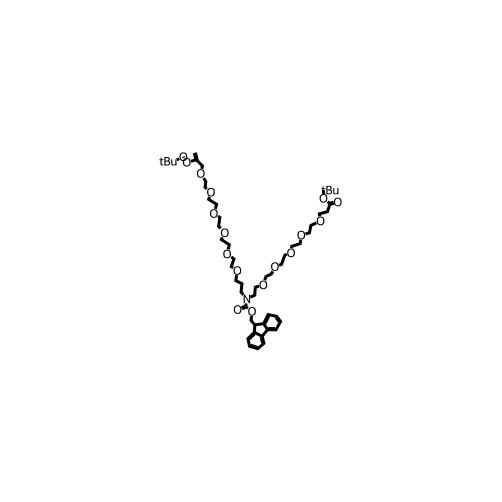 C=C(COCCOCCOCCOCCOCCOCCCN(CCOCCOCCOCCOCCOCCC(=O)OC(C)(C)C)C(=O)OCC1c2ccccc2-c2ccccc21)OOC(C)(C)C